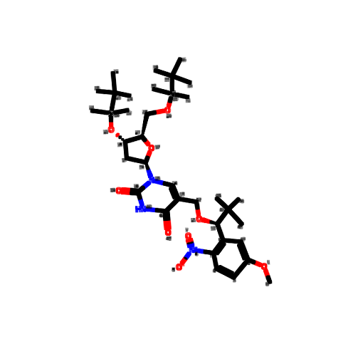 COc1ccc([N+](=O)[O-])c([C@@H](OCc2cn([C@H]3C[C@H](O[Si](C)(C)C(C)(C)C)[C@@H](CO[Si](C)(C)C(C)(C)C)O3)c(=O)[nH]c2=O)C(C)(C)C)c1